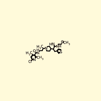 COCCNC(=N)C(Cc1ccsc1)C1CCN([C@H](C)CCNC(=O)c2c(C)cc(Cl)nc2C)CC1